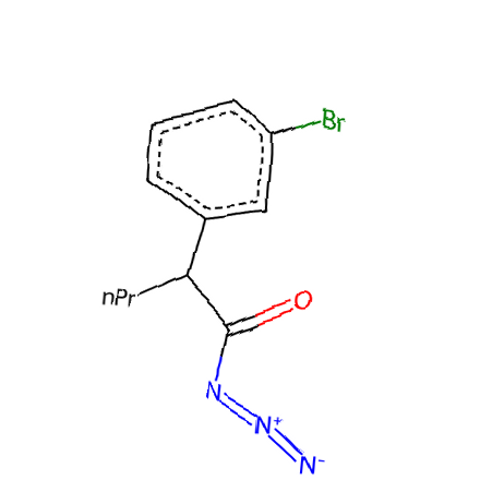 CCCC(C(=O)N=[N+]=[N-])c1cccc(Br)c1